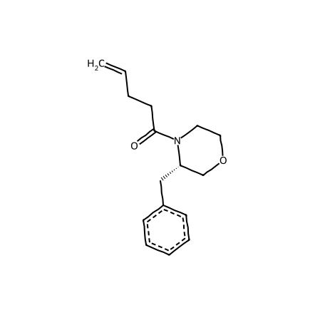 C=CCCC(=O)N1CCOC[C@@H]1Cc1ccccc1